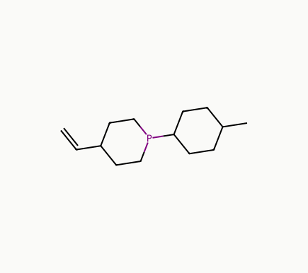 C=CC1CCP(C2CCC(C)CC2)CC1